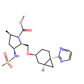 COC(=O)N1[C@H](C)C[C@H](NS(C)(=O)=O)[C@@H]1CO[C@H]1CC[C@@]2(c3ncccn3)C[C@H]2C1